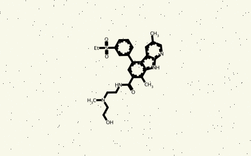 CCS(=O)(=O)c1cccc(-c2cc(C(=O)NCCN(C)CCO)c(C)c3[nH]c4ncc(C)cc4c23)c1